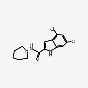 O=C(NN1CCCCC1)c1cc2c(Cl)cc(Cl)cc2[nH]1